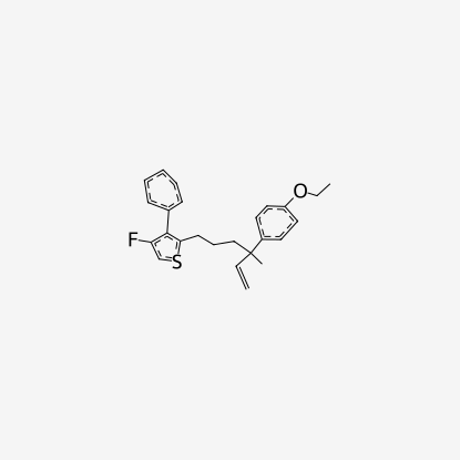 C=CC(C)(CCCc1scc(F)c1-c1ccccc1)c1ccc(OCC)cc1